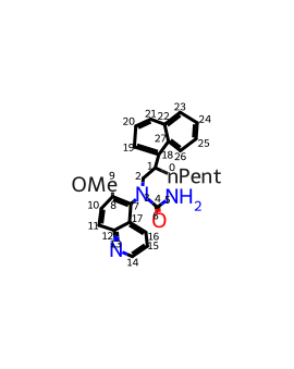 CCCCCC(CN(C(N)=O)c1c(OC)ccc2ncccc12)c1cccc2ccccc12